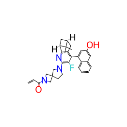 C=CC(=O)N1CC2(CCN(c3nc4c(c(-c5cc(O)cc6ccccc56)c3F)C[C@@H]3C[C@H]4C3(C)C)C2)C1